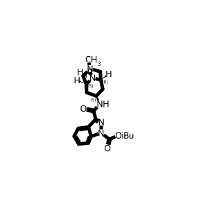 CC(C)COC(=O)n1nc(C(=O)N[C@@H]2C[C@@H]3CN(C)C[C@H](C2)N3C)c2ccccc21